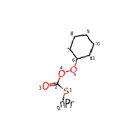 CCCSC(=O)OOC1CCCCC1